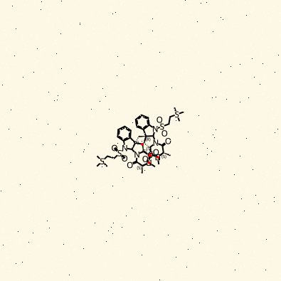 CN1C(=O)[C@@]23C[C@]4(C[C@]56C[C@@]78SS[C@@](C)(C(=O)N7C5N(S(=O)(=O)CCS(C)(C)C)c5ccccc56)N(C)C8=O)c5ccccc5N(S(=O)(=O)CCS(C)(C)C)C4N2C(=O)[C@]1(C)SS3